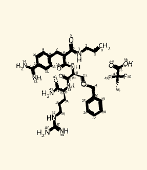 C=CCNC(=O)C(Cc1ccc(C(=N)N)cc1)C(=O)N[C@@H](COCc1ccccc1)C(=O)N[C@@H](CCCNC(=N)N)C(N)=O.O=C(O)C(F)(F)F